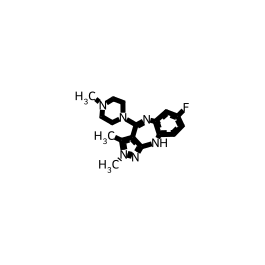 Cc1c2c(nn1C)Nc1ccc(F)cc1N=C2N1CCN(C)CC1